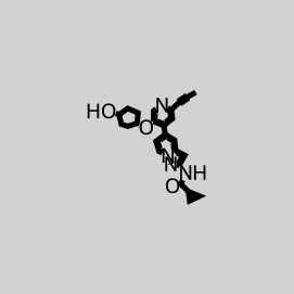 CC#Cc1cc(-c2ccn3nc(NC(=O)C4CC4)cc3c2)c(OC2CCC(O)CC2)cn1